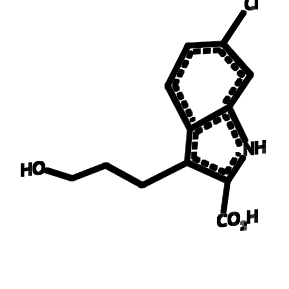 O=C(O)c1[nH]c2cc(Cl)ccc2c1CCCO